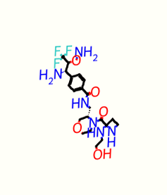 NOC([C@@H](N)c1ccc(C(=O)NC[C@H]2COCCN2C(=O)C2(NCCO)CCN2)cc1)C(F)(F)F